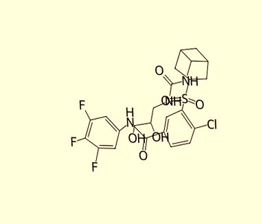 O=C(NCC(O)CO)NC1C2CC1CC(S(=O)(=O)c1cc(C(=O)Nc3cc(F)c(F)c(F)c3)ccc1Cl)C2